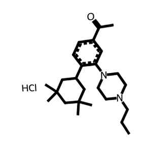 CCCN1CCN(c2cc(C(C)=O)ccc2C2CC(C)(C)CC(C)(C)C2)CC1.Cl